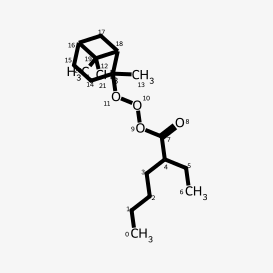 CCCCC(CC)C(=O)OOOC1(C)CCC2CC1C2(C)C